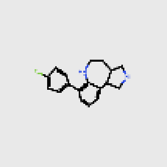 Fc1ccc(-c2cccc3c2NCCC2CNCC32)cc1